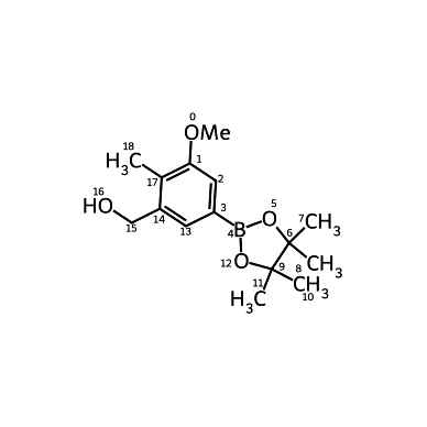 COc1cc(B2OC(C)(C)C(C)(C)O2)cc(CO)c1C